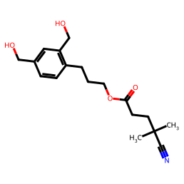 CC(C)(C#N)CCC(=O)OCCCc1ccc(CO)cc1CO